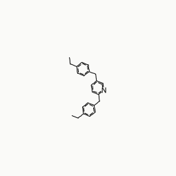 CCc1ccc(Cc2ccc(Cc3ccc(CC)cc3)nc2)cc1